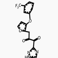 O=C(Cc1occc1Oc1cccc(C(F)(F)F)c1)C(=O)c1nc[nH]n1